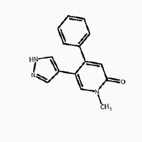 Cn1cc(-c2cn[nH]c2)c(-c2ccccc2)cc1=O